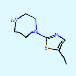 Cc1cnc(N2CCNCC2)s1